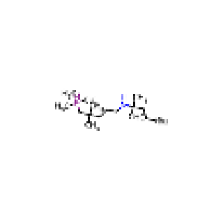 CC(C)(C)CCC(C)(C=O)NCCCC(C)(C)C[PH](C)(C)C